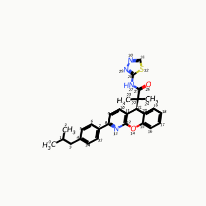 CC(C)Cc1ccc(-c2ccc3c(n2)Oc2ccccc2[C@@H]3C(C)(C)C(=O)Nc2nncs2)cc1